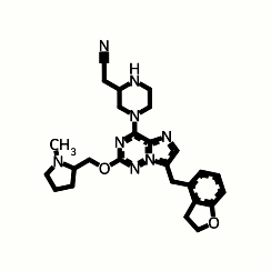 CN1CCCC1COc1nc(N2CCNC(CC#N)C2)c2ncc(Cc3cccc4c3CCO4)n2n1